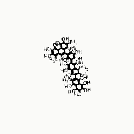 Bc1c(-c2c(B)c(O)c3c(O)c(O)c(O)c(O)c3c2O)c(O)c2c(O)c(O)c(-c3c(O)c(O)c(O)c(-c4c(B)c5c(B)c(O)c(O)c(O)c5c5c(O)c(O)c(B)c(O)c45)c3O)c(O)c2c1B